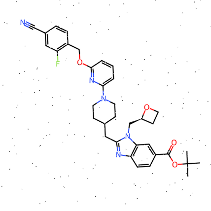 CC(C)(C)OC(=O)c1ccc2nc(CC3CCN(c4cccc(OCc5ccc(C#N)cc5F)n4)CC3)n(C[C@@H]3CCO3)c2c1